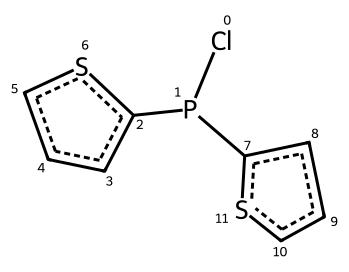 ClP(c1cccs1)c1cccs1